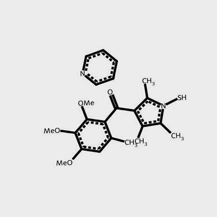 COc1cc(C)c(C(=O)c2c(C)c(C)n(S)c2C)c(OC)c1OC.c1ccncc1